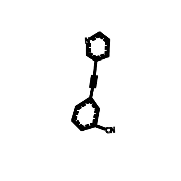 N#Cc1cccc(C#Cc2cccnc2)c1